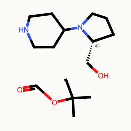 CC(C)(C)OC=O.OC[C@H]1CCCN1C1CCNCC1